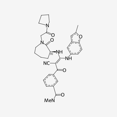 CNC(=O)c1cccc(C(=O)C(C#N)=C(Nc2ccc3oc(C)cc3c2)N[C@H]2CCCCN(CC(=O)N3CCCC3)C2=O)c1